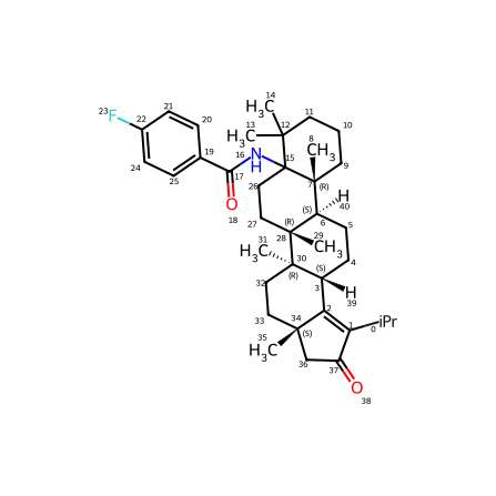 CC(C)C1=C2[C@H]3CC[C@@H]4[C@@]5(C)CCCC(C)(C)C5(NC(=O)c5ccc(F)cc5)CC[C@@]4(C)[C@]3(C)CC[C@@]2(C)CC1=O